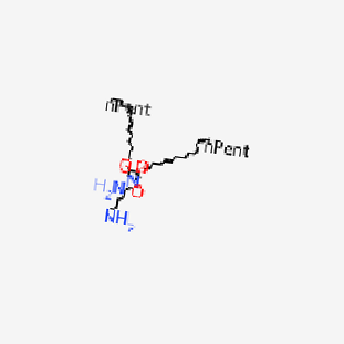 CCCCC/C=C\C/C=C\CCCCCCCCOC1CN(C(=O)[C@@H](N)CCCCN)C[C@H]1OCCCCCCCC/C=C\C/C=C\CCCCC